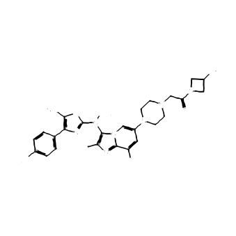 CCc1nc2c(C)cc(N3CCN(CC(=O)N4CC(O)C4)CC3)cn2c1N(C)c1nc(-c2ccc(C)cc2)c(C#N)s1